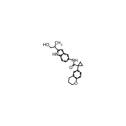 CC(CO)c1cc2cc(NC(=O)C3(c4ccc5c(c4)CCCO5)CC3)ccc2[nH]1